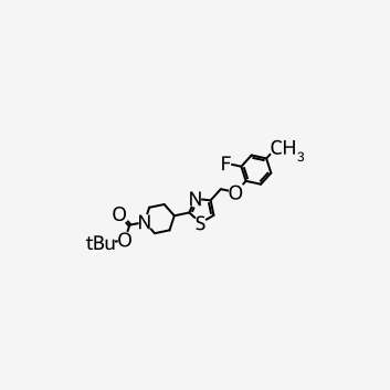 Cc1ccc(OCc2csc(C3CCN(C(=O)OC(C)(C)C)CC3)n2)c(F)c1